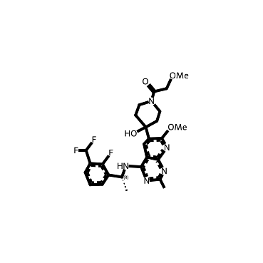 COCC(=O)N1CCC(O)(c2cc3c(N[C@H](C)c4cccc(C(F)F)c4F)nc(C)nc3nc2OC)CC1